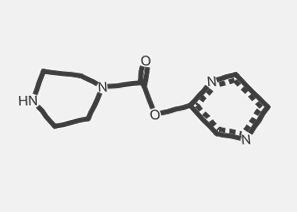 O=C(Oc1cnccn1)N1CCNCC1